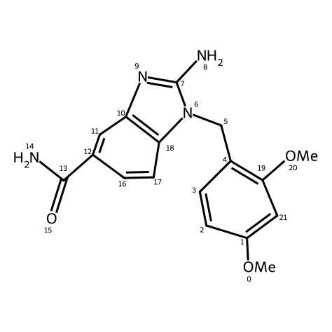 COc1ccc(Cn2c(N)nc3cc(C(N)=O)ccc32)c(OC)c1